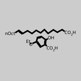 CCCCCCCC/C=C/CCCCCCCCCC(=O)O.CCOc1ccc(O)c(C(=O)O)c1